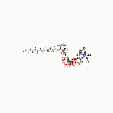 CCCCCCCCCCCCCCCc1ccccc1OCC(COP(=O)(O)Oc1cccc(C[n+]2ccsc2CC(C)C)c1)OC